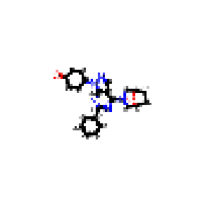 O=C1CCC(n2ncc3c(N4CC5CCC(C4)O5)nc(-c4cc[c]cc4)nc32)CC1